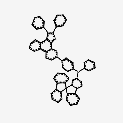 c1ccc(-c2sc3c4cc(-c5ccc(N(c6ccccc6)c6ccc7c(c6)C6(c8ccccc8-c8ccccc86)c6ccccc6-7)cc5)ccc4c4ccccc4c3c2-c2ccccc2)cc1